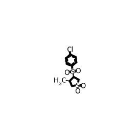 C[C@H]1CS(=O)(=O)C[C@@H]1S(=O)(=O)c1ccc(Cl)cc1